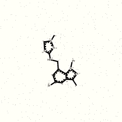 Cc1nn(C(C)C)c2c(CNc3ncn(C)n3)cc(Br)cc12